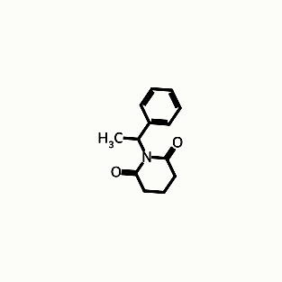 CC(c1ccccc1)N1C(=O)CCCC1=O